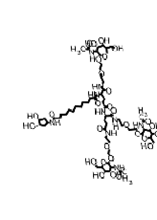 CC(=O)NC1C(OCCOCCNC(=O)C(CCC(=O)NC(CCC(=O)NCCOCCOC2OC(CO)C(O)C(O)C2NC(C)=O)C(=O)NCCOCCOC2OC(CO)C(O)C(O)C2NC(C)=O)NC(=O)CCCCCCCCCCC(=O)N[C@H]2C[C@H](CO)[C@@H](O)C2)OCC(CO)C(O)C1O